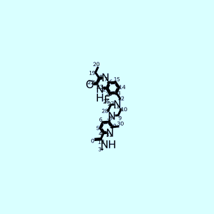 C=C(NC)c1ccc(N2CCN(Cc3ccc4nc(CC)c(=O)[nH]c4c3F)CC2)c(C)n1